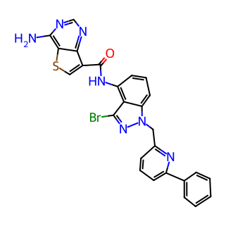 Nc1ncnc2c(C(=O)Nc3cccc4c3c(Br)nn4Cc3cccc(-c4ccccc4)n3)csc12